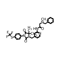 CN(CC(=O)Nc1cc(CN2C(=O)N(c3ccc(SC(F)(F)F)cc3)C(=O)C2(C)C)ccn1)Cc1ccccc1